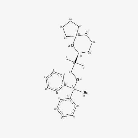 CC(C)(CO[Si](c1ccccc1)(c1ccccc1)C(C)(C)C)[C@@H]1CCOC2(CCCC2)O1